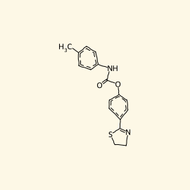 Cc1ccc(NC(=O)Oc2ccc(C3=NCCS3)cc2)cc1